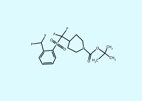 CC(C)(C)OC(=O)N1CCC(C(F)(F)S(=O)(=O)c2ccccc2C(F)F)CC1